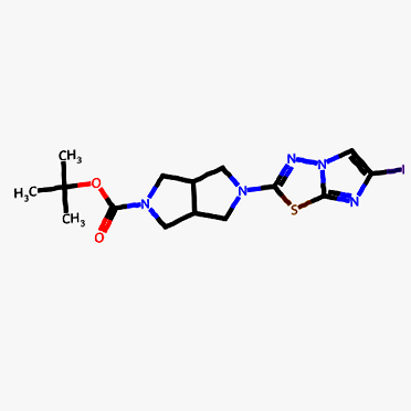 CC(C)(C)OC(=O)N1CC2CN(c3nn4cc(I)nc4s3)CC2C1